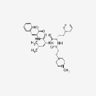 CC(C)C[C@H](NC(=O)[C@H](CCc1ccccc1)NC(=O)CCN1CCN(C)CC1)C(=O)N[C@@H](Cc1ccccc1)C(=O)O